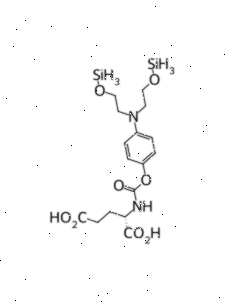 O=C(O)CC[C@H](NC(=O)Oc1ccc(N(CCO[SiH3])CCO[SiH3])cc1)C(=O)O